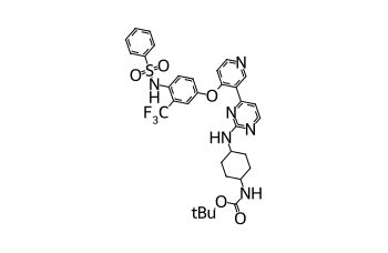 CC(C)(C)OC(=O)NC1CCC(Nc2nccc(-c3cnccc3Oc3ccc(NS(=O)(=O)c4ccccc4)c(C(F)(F)F)c3)n2)CC1